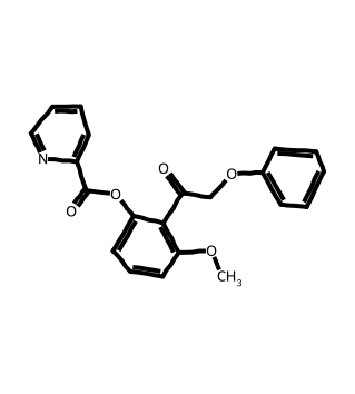 COc1cccc(OC(=O)c2ccccn2)c1C(=O)COc1ccccc1